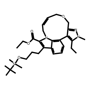 CCOC(=O)c1c(CCCO[Si](C)(C)C(C)(C)C)c2cccc3c2n1C/C=C\COCc1nn(C)c(CC)c1-3